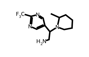 CC1CCCCN1C(CN)c1cnc(C(F)(F)F)nc1